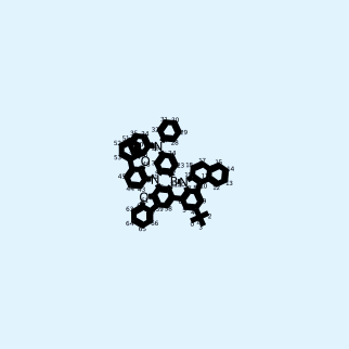 CC(C)(C)c1cc2c3c(c1)c1c4ccccc4ccc1n3B1c3ccc(N(c4ccccc4)c4ccccc4)cc3N(c3cccc4c3oc3ccccc34)c3c1c-2cc1c3oc2ccccc21